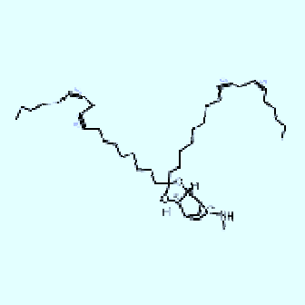 CCCCC/C=C\C/C=C\CCCCCCCCC1(CCCCCCCC/C=C\C/C=C\CCCCC)O[C@@H]2C3CC([C@@H](NC)C3)[C@H]2O1